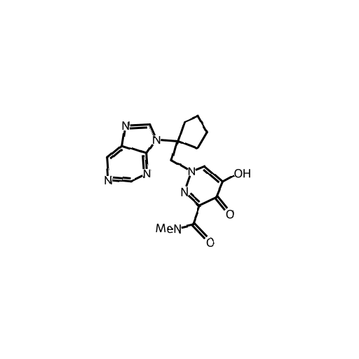 CNC(=O)c1nn(CC2(n3cnc4cncnc43)CCCC2)cc(O)c1=O